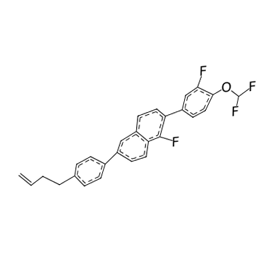 C=CCCc1ccc(-c2ccc3c(F)c(-c4ccc(OC(F)F)c(F)c4)ccc3c2)cc1